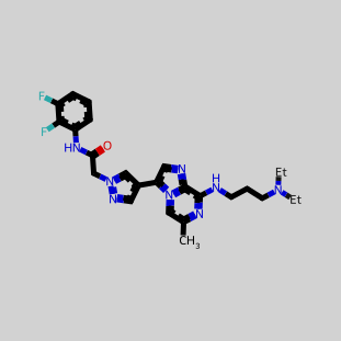 CCN(CC)CCCNc1nc(C)cn2c(-c3cnn(CC(=O)Nc4cccc(F)c4F)c3)cnc12